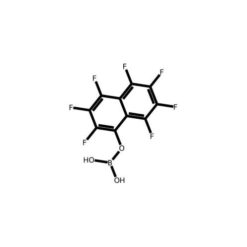 OB(O)Oc1c(F)c(F)c(F)c2c(F)c(F)c(F)c(F)c12